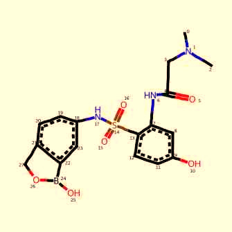 CN(C)CC(=O)Nc1cc(O)ccc1S(=O)(=O)Nc1ccc2c(c1)B(O)OC2